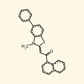 CN1C(=CC(=O)c2cccc3ccccc23)Sc2ccc(-c3ccccc3)cc21